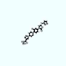 O=C(NO)c1cn(C2CCN(c3ccc(N4C[C@H](Cn5ccnn5)OC4=O)cc3F)CC2)nn1